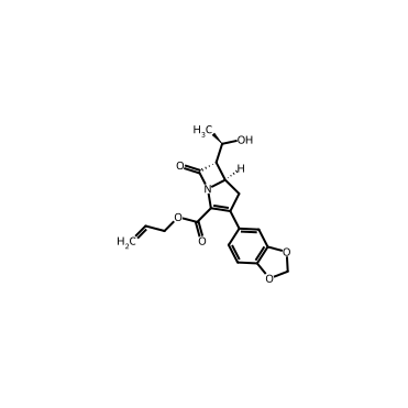 C=CCOC(=O)C1=C(c2ccc3c(c2)OCO3)C[C@@H]2[C@@H]([C@@H](C)O)C(=O)N12